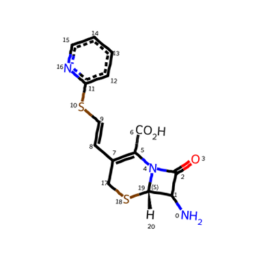 NC1C(=O)N2C(C(=O)O)=C(C=CSc3ccccn3)CS[C@@H]12